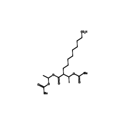 CC(OC(=O)C(CCCCCCCCC(=O)O)C(C)OC(=O)C(C)(C)C)OC(=O)C(C)(C)C